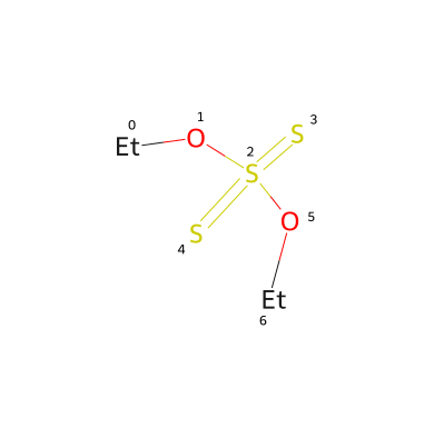 CCOS(=S)(=S)OCC